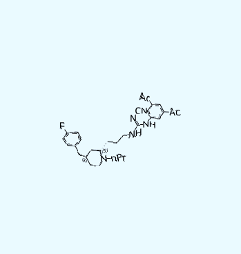 CCCN1CC[C@@H](Cc2ccc(F)cc2)C[C@@H]1CCCNC(=NC#N)Nc1cc(C(C)=O)cc(C(C)=O)c1